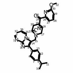 C=Nc1nc(-c2ccc(C(C)C)cc2)c(CN2CC3CCC2CN3C(=O)c2cccc(OC)n2)n1/C=C\C